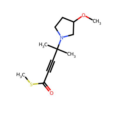 COC1CCN(C(C)(C)C#CC(=O)SC)C1